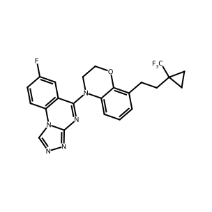 Fc1ccc2c(c1)c(N1CCOc3c(CCC4(C(F)(F)F)CC4)cccc31)nc1nncn12